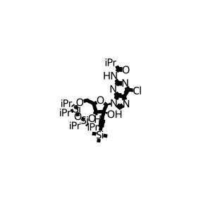 CC(C)C(=O)Nc1nc(Cl)c2ncn([C@@H]3OC4CO[Si](C(C)C)(C(C)C)O[Si](C(C)C)(C(C)C)O[C@H]4[C@@]3(O)C#C[Si](C)(C)C)c2n1